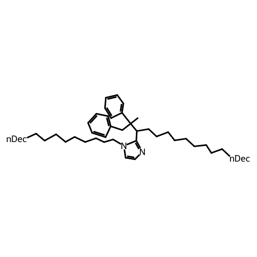 CCCCCCCCCCCCCCCCCCCC(c1nccn1CCCCCCCCCCCCCCCCCCC)C(C)(Cc1ccccc1)c1ccccc1